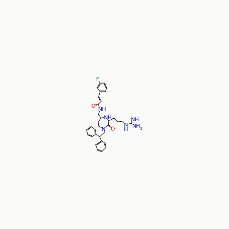 N=C(N)NCCC[C@@H]1N[C@H](CNC(=O)/C=C/c2cccc(F)c2)CCN(CC(c2ccccc2)c2ccccc2)C1=O